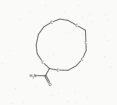 NC(=O)C1CCCCCCCCCCCCCCCC1